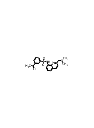 CC(=O)c1cccc(S(=O)(=O)Nc2cccc3ccc(CN(C)C)nc23)c1